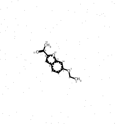 CCOc1ccc2cc(C(C)=O)oc2c1